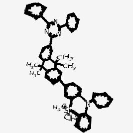 CC1(C)c2ccc(-c3ccc4c(c3)[Si](C)(C)c3ccccc3N4c3ccccc3)cc2C(C)(C)c2cc(-c3nc(-c4ccccc4)nc(-c4ccccc4)n3)ccc21